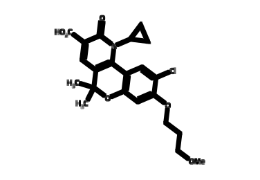 COCCCOc1cc2c(cc1Cl)-c1c(cc(C(=O)O)c(=O)n1C1CC1)C(C)(C)O2